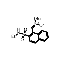 CCNS(=O)(=O)c1ccc2ccccc2c1/C=[N+](\[O-])C(C)(C)C